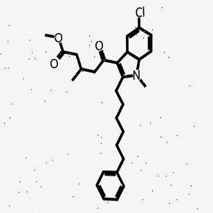 COC(=O)CC(C)CC(=O)C1=C(CCCCCCc2ccccc2)N(C)C2C=CC(Cl)=CC12